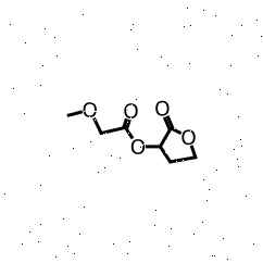 COCC(=O)OC1CCOC1=O